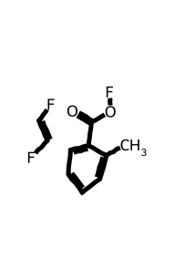 Cc1ccccc1C(=O)OF.FC=CF